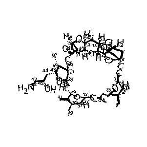 C=C1C[C@@H]2CC[C@@]34C[C@H]5O[C@H]6C(O3)[C@H]3O[C@H](CC[C@@H]3O[C@H]6[C@H]5O4)CC(=O)CC3[C@H](CC4O[C@@H](CCC1O2)C[C@@H](C)C4=C)O[C@H](C[C@H](O)CN)[C@@H]3C